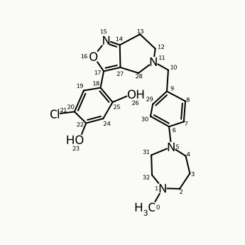 CN1CCCN(c2ccc(CN3CCc4noc(-c5cc(Cl)c(O)cc5O)c4C3)cc2)CC1